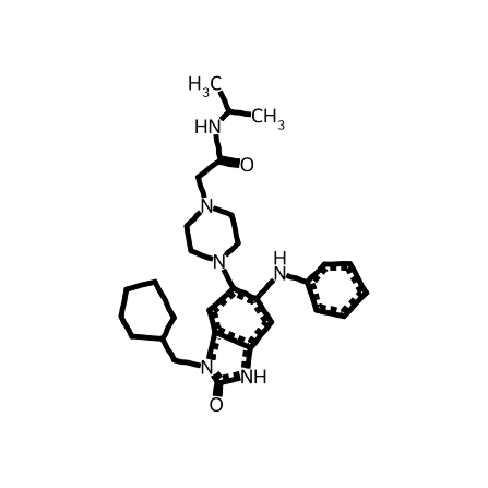 CC(C)NC(=O)CN1CCN(c2cc3c(cc2Nc2ccccc2)[nH]c(=O)n3CC2CCCCC2)CC1